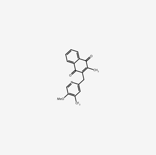 COc1cnc(CC2=C(C)C(=O)c3ccccc3C2=O)cc1C(F)(F)F